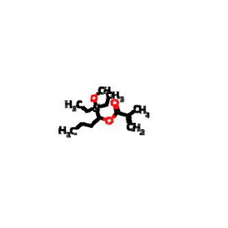 C=C(C)C(=O)OC(CCC)[Si](CC)(CC)OC